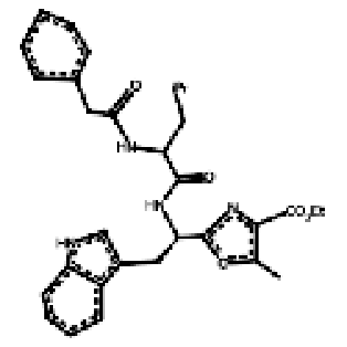 CCOC(=O)c1nc([C@@H](Cc2c[nH]c3ccccc23)NC(=O)C(CC(C)C)NC(=O)Cc2ccccc2)oc1C